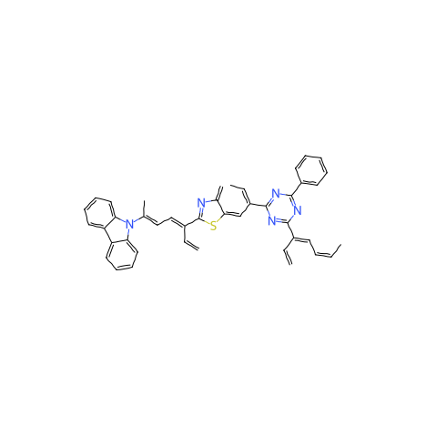 C=C/C(=C\C=C/C)c1nc(C(=C/C)/C=c2/sc(/C(C=C)=C/C=C(\C)n3c4ccccc4c4ccccc43)nc2=C)nc(-c2ccccc2)n1